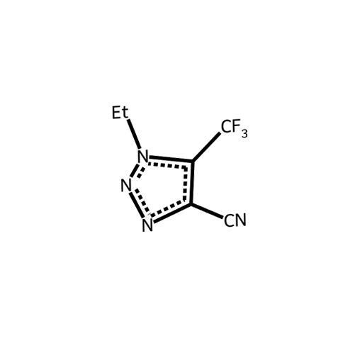 CCn1nnc(C#N)c1C(F)(F)F